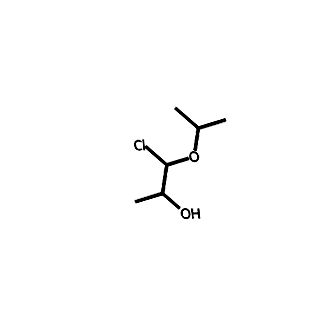 CC(C)OC(Cl)C(C)O